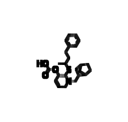 CC(CCc1ccccc1)SC1=C(OC(=O)O)C=CCN1CC1CC2CCC1C2